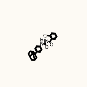 O=C(NC(=O)c1ccccc1Cl)Nc1ccc(C23CC4CC(CC(C4)C2)C3)cc1